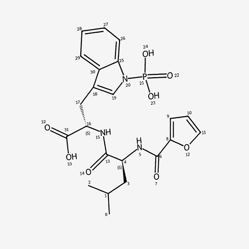 CC(C)C[C@H](NC(=O)c1ccco1)C(=O)N[C@@H](Cc1cn(P(=O)(O)O)c2ccccc12)C(=O)O